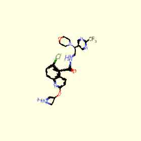 O=C(NCC(c1cnc(C(F)(F)F)nc1)N1CCOCC1)c1c(Cl)ccc2nc(OC3CNC3)ccc12